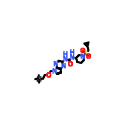 C[Si](C)(C)CCOCn1ccc2nc(NC(=O)NC3CCCN(S(=O)(=O)CC4CC4)C3)cnc21